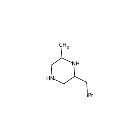 CC(C)CC1CNCC(C)N1